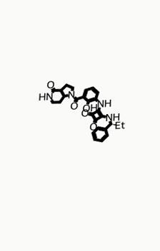 CC[C@@H](Nc1c(Nc2cccc(C(=O)N3CCC4C(=O)NCCC43)c2O)c(=O)c1=O)c1ccccc1